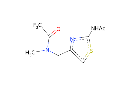 CC(=O)Nc1nc(CN(C)C(=O)C(F)(F)F)cs1